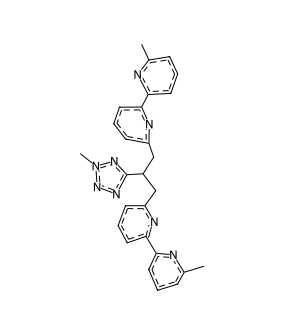 Cc1cccc(-c2cccc(CC(Cc3cccc(-c4cccc(C)n4)n3)c3nnn(C)n3)n2)n1